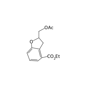 CCOC(=O)c1cccc2c1CC(COC(C)=O)O2